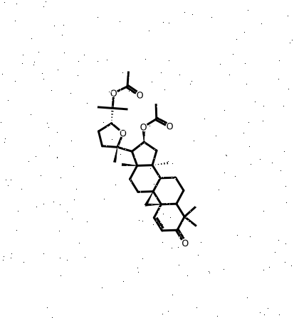 CC(=O)O[C@H]1C[C@@]2(C)C3CCC4C(C)(C)C(=O)C=C[C@@]45C[C@@]35CC[C@]2(C)C1[C@]1(C)CC[C@H](C(C)(C)OC(C)=O)O1